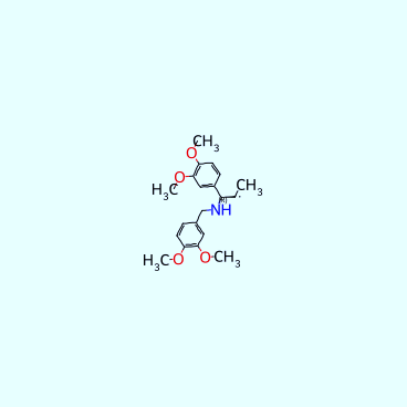 C[CH][C@@H](NCc1ccc(OC)c(OC)c1)c1ccc(OC)c(OC)c1